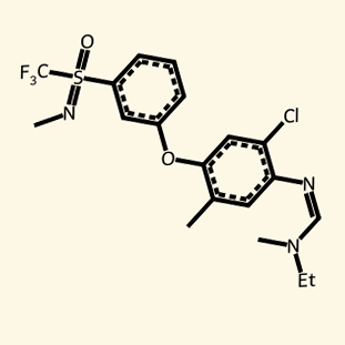 CCN(C)/C=N\c1cc(C)c(Oc2cccc(S(=O)(=NC)C(F)(F)F)c2)cc1Cl